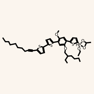 CCCCCCCCC#Cc1ccc(-c2ccc(-c3cc(OCC(CC)CCCC)c(-c4ccc([PH]5(OCC)OC(C)O5)s4)cc3OC)s2)s1